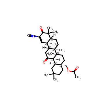 [C-]#[N+]C1=C[C@]2(C)[C@H]3CC(=O)[C@@H]4[C@@H]5CC(C)(C)CC[C@]5(COC(C)=O)CC[C@@]4(C)[C@]3(C)CC[C@H]2C(C)(C)C1=O